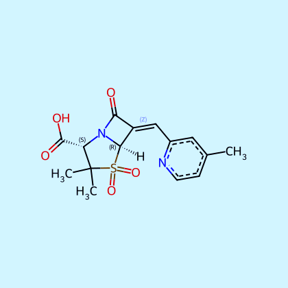 Cc1ccnc(/C=C2/C(=O)N3[C@@H](C(=O)O)C(C)(C)S(=O)(=O)[C@H]23)c1